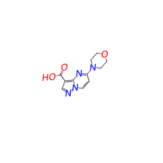 O=C(O)c1cnn2ccc(N3CCOCC3)nc12